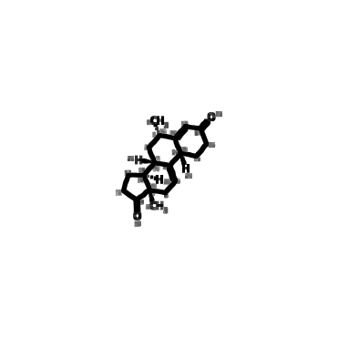 C[C@H]1C[C@@H]2C(=CC[C@]3(C)C(=O)CC[C@@H]23)[C@H]2CCC(=O)C=C21